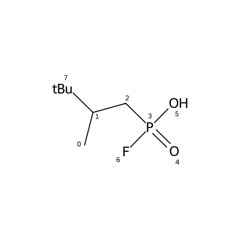 CC(CP(=O)(O)F)C(C)(C)C